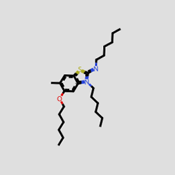 CCCCCC/N=c1\sc2cc(C)c(OCCCCCC)cc2n1CCCCCC